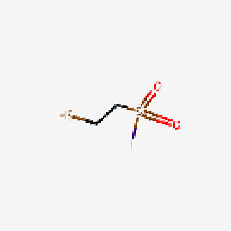 O=S(=O)(I)CCS